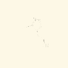 C=CCn1ccn[c]1[SnH]